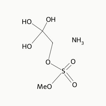 COS(=O)(=O)OCC(O)(O)O.N